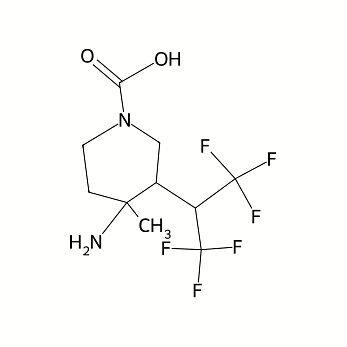 CC1(N)CCN(C(=O)O)CC1C(C(F)(F)F)C(F)(F)F